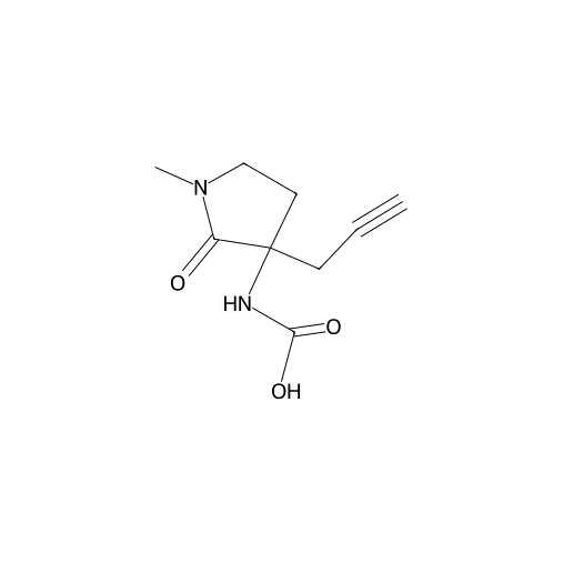 C#CCC1(NC(=O)O)CCN(C)C1=O